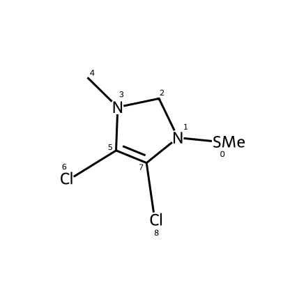 CSN1CN(C)C(Cl)=C1Cl